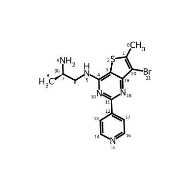 Cc1sc2c(NC[C@@H](C)N)nc(-c3ccncc3)nc2c1Br